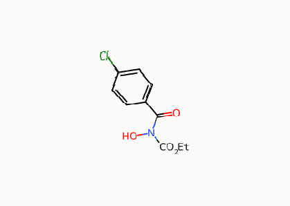 CCOC(=O)N(O)C(=O)c1ccc(Cl)cc1